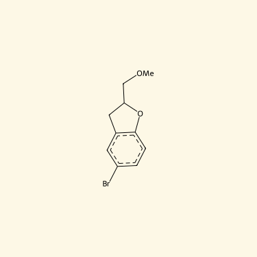 COCC1Cc2cc(Br)ccc2O1